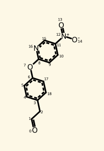 O=CCc1ccc(Oc2ccc([N+](=O)[O-])cn2)cc1